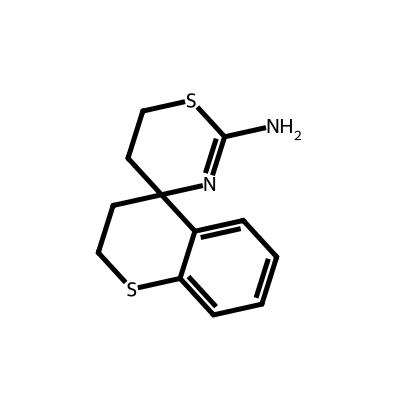 NC1=NC2(CCS1)CCSc1ccccc12